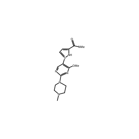 CNC(=O)C1=CC=S(c2cnc(N3CCN(C)CC3)nc2OC)N1